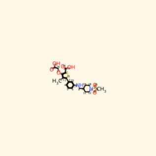 Cc1c(-c2cccc(NCC3CCN(S(C)(=O)=O)CC3)c2)sc(C(=O)O)c1OCC(=O)O